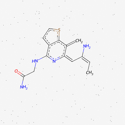 C=c1/c(=C\C(N)=C/C)nc(NCC(N)=O)c2ccsc12